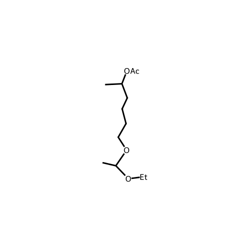 CCOC(C)OCCCCC(C)OC(C)=O